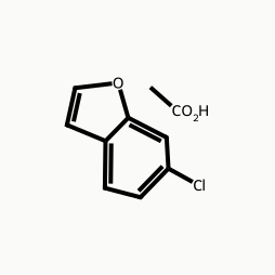 CC(=O)O.Clc1ccc2ccoc2c1